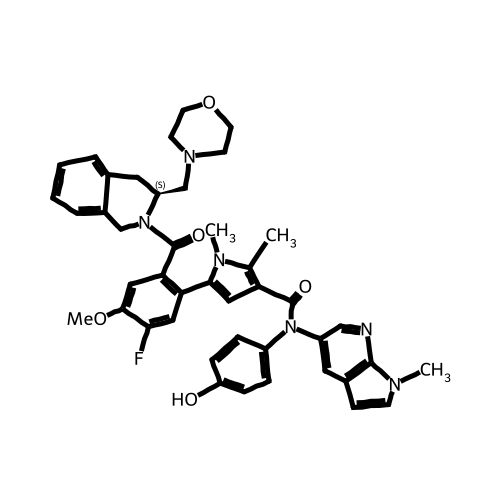 COc1cc(C(=O)N2Cc3ccccc3C[C@H]2CN2CCOCC2)c(-c2cc(C(=O)N(c3ccc(O)cc3)c3cnc4c(ccn4C)c3)c(C)n2C)cc1F